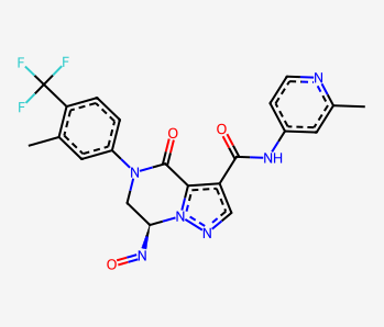 Cc1cc(NC(=O)c2cnn3c2C(=O)N(c2ccc(C(F)(F)F)c(C)c2)C[C@@H]3N=O)ccn1